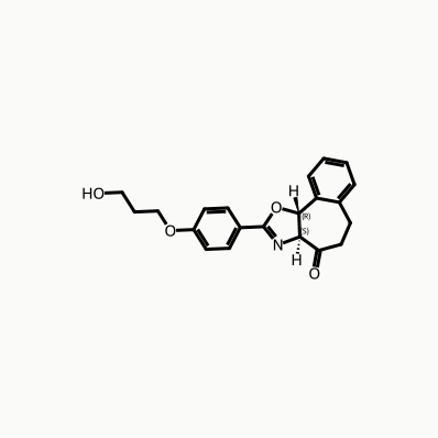 O=C1CCc2ccccc2[C@H]2OC(c3ccc(OCCCO)cc3)=N[C@H]12